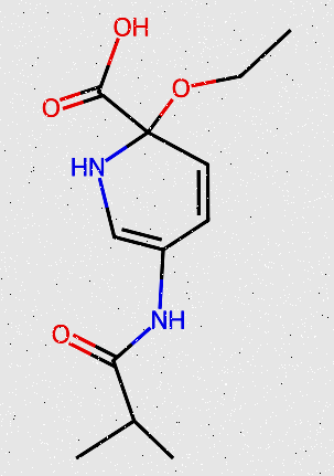 CCOC1(C(=O)O)C=CC(NC(=O)C(C)C)=CN1